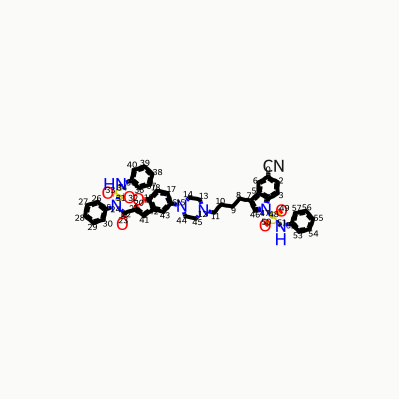 N#Cc1ccc2c(c1)c(CCCCN1CCN(c3ccc4oc(C(=O)N(c5ccccc5)S(=O)(=O)Nc5ccccc5)cc4c3)CC1)cn2S(=O)(=O)Nc1ccccc1